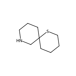 C1CCC2(CCCNC2)SC1